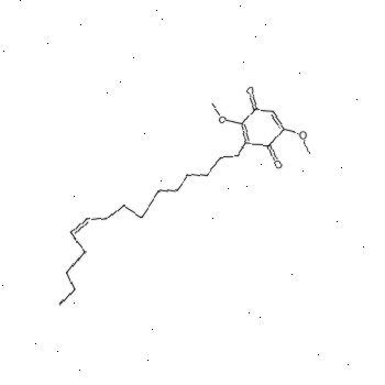 CCCC/C=C\CCCCCCCCCC1=C(OC)C(=O)C=C(OC)C1=O